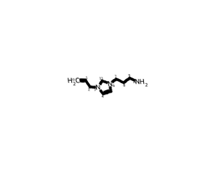 C=CCN1C=CN(CCCN)C1